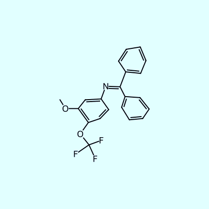 COc1cc(N=C(c2ccccc2)c2ccccc2)ccc1OC(F)(F)F